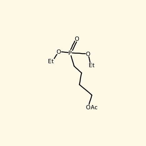 CCOP(=O)(CCCCOC(C)=O)OCC